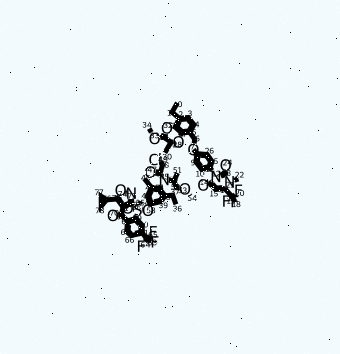 CCc1ccc(COc2ccc(-n3c(=O)cc(C(F)(F)F)n(C)c3=O)cc2)c(OC(C)C(=O)OC)c1.CCc1cccc(C)c1N(C(=O)CCl)C(C)COC.CS(=O)(=O)c1cc(C(F)(F)F)ccc1C(=O)c1cnoc1C1CC1